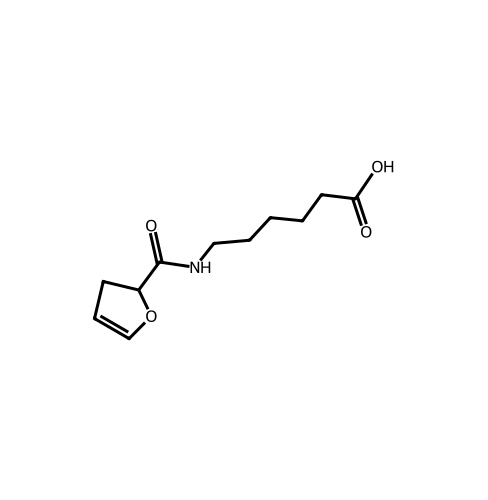 O=C(O)CCCCCNC(=O)C1CC=CO1